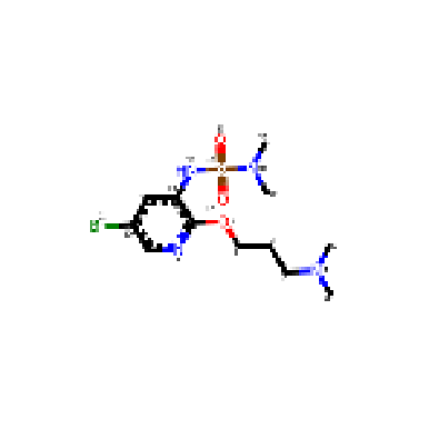 CN(C)CCCOc1ncc(Br)cc1NS(=O)(=O)N(C)C